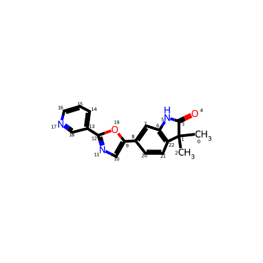 CC1(C)C(=O)Nc2cc(-c3cnc(-c4cccnc4)o3)ccc21